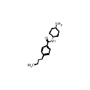 CCCCc1ccc(C(=O)N[C@H]2CC[C@H](N)CC2)cc1